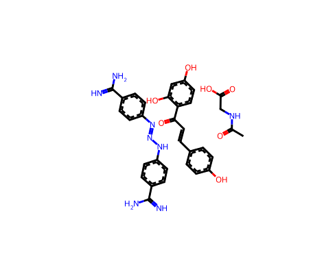 CC(=O)NCC(=O)O.N=C(N)c1ccc(/N=N/Nc2ccc(C(=N)N)cc2)cc1.O=C(/C=C/c1ccc(O)cc1)c1ccc(O)cc1O